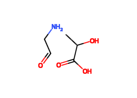 CC(O)C(=O)O.NCC=O